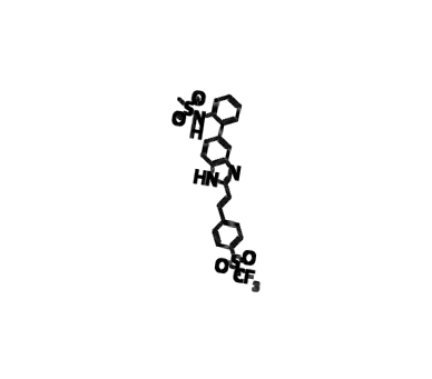 CS(=O)(=O)Nc1ccccc1-c1ccc2[nH]c(/C=C/c3ccc(S(=O)(=O)C(F)(F)F)cc3)nc2c1